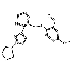 COc1cc(C=O)c(OCc2cccnc2-c2ccn(C3CCCC3)n2)cn1